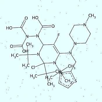 CN1CCN(N(Cc2nccs2)C2=C(F)C(N(C(=O)O)N(C(=O)O)C(=O)O)N(C(C)(C)C)C(Cl)(C(C)(C)C)N2C(C)(C)C)CC1